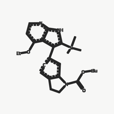 CCOc1ccnc2[nH]c([Si](C)(C)C)c(-c3ccc4c(c3)N(C(=O)OC(C)(C)C)CC4)c12